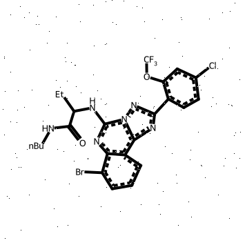 CCCCNC(=O)C(CC)Nc1nc2c(Br)cccc2c2nc(-c3ccc(Cl)cc3OC(F)(F)F)nn12